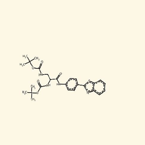 CC(C)(C)OC(=O)NCC(NC(=O)OC(C)(C)C)C(=O)Nc1ccc(-c2nc3ccccc3s2)cc1